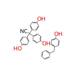 N#CC(c1ccc(O)cc1)(c1ccc(O)cc1)c1ccc(O)cc1.Oc1ccc(Cc2ccccc2)cc1